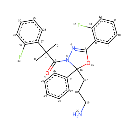 CC(C)(C(=O)N1N=C(c2ccccc2F)OC1(CCCN)c1ccccc1)c1ccccc1F